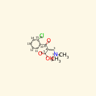 CN(C)/C=C(\C(=O)O)C(=O)c1ccccc1Cl